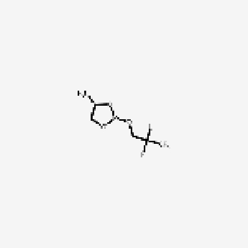 FC(F)(F)[C@@H]1COP(OCC(F)(F)C(F)(F)F)O1